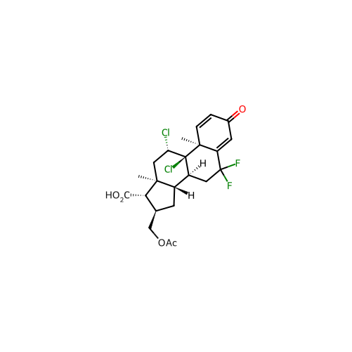 CC(=O)OC[C@@H]1C[C@H]2[C@@H]3CC(F)(F)C4=CC(=O)C=C[C@]4(C)[C@@]3(Cl)[C@@H](Cl)C[C@]2(C)[C@H]1C(=O)O